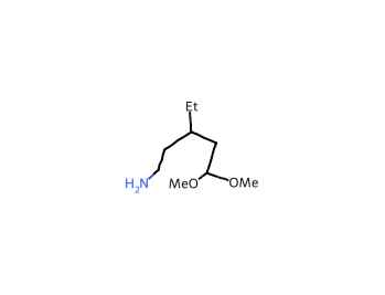 CCC(CCN)CC(OC)OC